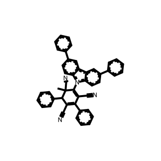 CC1(C#N)C(n2c3ccc(-c4ccccc4)cc3c3cc(-c4ccccc4)ccc32)=C(C#N)C(c2ccccc2)=C(C#N)C1c1ccccc1